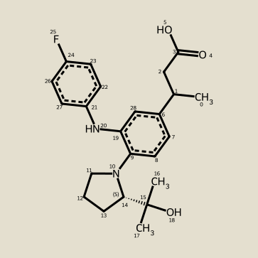 CC(CC(=O)O)c1ccc(N2CCC[C@H]2C(C)(C)O)c(Nc2ccc(F)cc2)c1